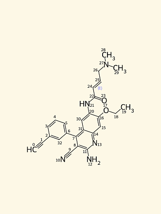 C#Cc1cccc(-c2c(C#N)c(N)nc3cc(OCC)c(NC(=O)/C=C/CN(C)C)cc23)c1